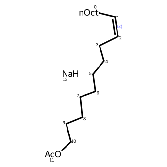 CCCCCCCC/C=C\CCCCCCCCOC(C)=O.[NaH]